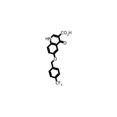 O=C(O)c1c[nH]c2ccc(OCc3ccc(C(F)(F)F)cc3)cc2c1=O